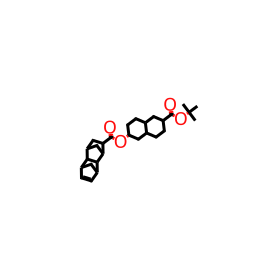 CC(C)(C)OC(=O)C1CCC2CC(OC(=O)C3CC4CC3C3C5C=CC(C5)C43)CCC2C1